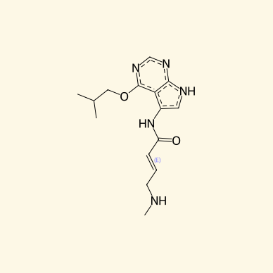 CNC/C=C/C(=O)Nc1c[nH]c2ncnc(OCC(C)C)c12